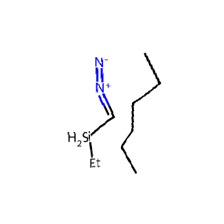 CCCCCC.CC[SiH2]C=[N+]=[N-]